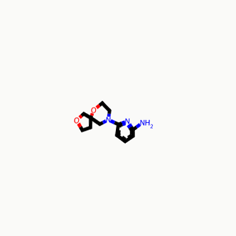 Nc1cccc(N2CCOC3(CCOC3)C2)n1